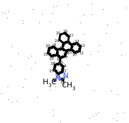 Cc1nc2cc(-c3cc4c5ccccc5c5c(c4c4ccccc34)CCC=C5)ccc2n1C